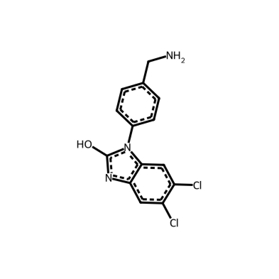 NCc1ccc(-n2c(O)nc3cc(Cl)c(Cl)cc32)cc1